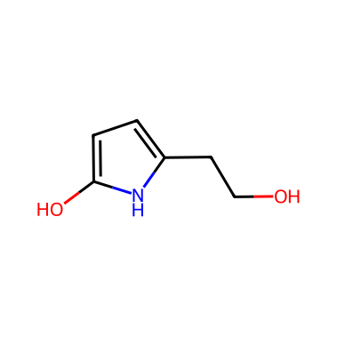 OCCc1ccc(O)[nH]1